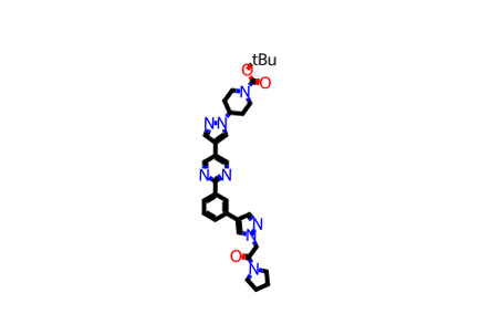 CC(C)(C)OC(=O)N1CCC(n2cc(-c3cnc(-c4cccc(-c5cnn(CC(=O)N6CCCC6)c5)c4)nc3)cn2)CC1